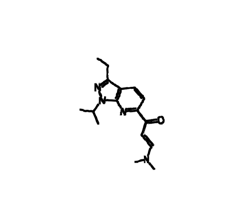 CCc1nn(C(C)C)c2nc(C(=O)/C=C/N(C)C)ccc12